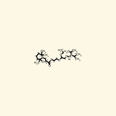 CCOC(COPN(C(C)C)C(C)C)OCCSC(=O)CCN1C(C)(C)CCCC1(C)C